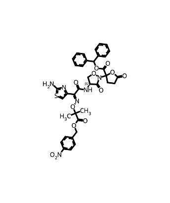 CC(C)(ON=C(C(=O)N[C@H]1CON(C2(C(=O)OC(c3ccccc3)c3ccccc3)CCC(=O)O2)C1=O)c1csc(N)n1)C(=O)OCc1ccc([N+](=O)[O-])cc1